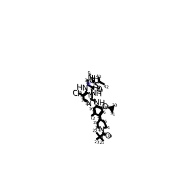 CN/C=C(/Nc1nc(Nc2cc(C)c(C3CCN(C(=O)C(C)(C)C)CC3)cc2OC2CC2)ncc1Cl)C(=N)S(=O)(=O)C(C)C